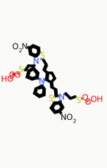 O=[N+]([O-])c1ccc2c(c1)N(CCCSOOO)/C(=C/C=C1\CCC(/C=C/c3sc4ccc([N+](=O)[O-])cc4[n+]3CCCSOOO)=C1N(c1ccccc1)c1ccccc1)S2